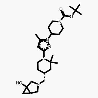 Cc1cc(N2CC[C@@H](CN3CC4CC4(O)C3)CC2(C)C)nn1C1CCN(C(=O)OC(C)(C)C)CC1